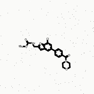 CC(C)(C)OC(=O)NCc1cc2cc(-c3ccc(C(=O)N4CCOCC4)cc3)cc(Cl)c2o1